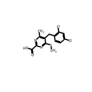 CSc1nc(C(=O)O)nc(C)c1Cc1ccc(Cl)cc1Cl